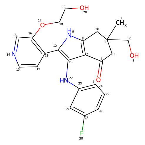 CC1(CO)CC(=O)c2c([nH]c(-c3ccncc3OCCO)c2Nc2cccc(F)c2)C1